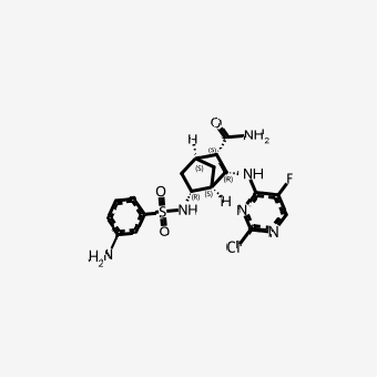 NC(=O)[C@H]1[C@H]2C[C@@H]([C@H]1Nc1nc(Cl)ncc1F)[C@H](NS(=O)(=O)c1cccc(N)c1)C2